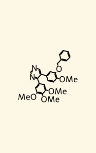 COc1ccc(-c2cncnc2-c2cc(OC)c(OC)c(OC)c2)cc1OCc1ccccc1